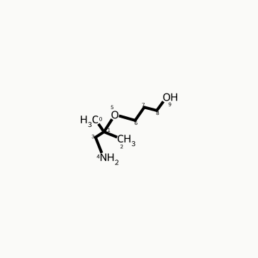 CC(C)(CN)OCCCO